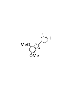 COc1cc(OC)c2cc(C3CCN[C@@H](C)C3)sc2c1